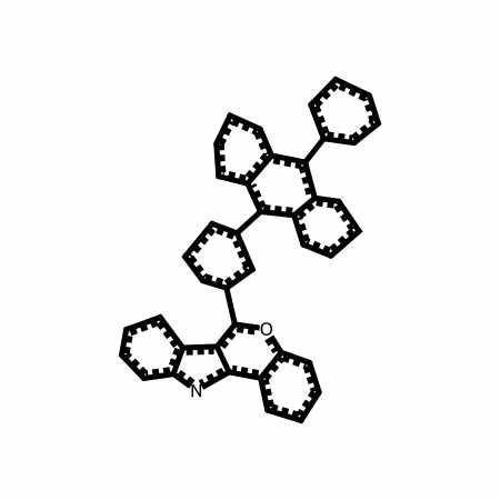 c1ccc(-c2c3ccccc3c(-c3cccc(-c4oc5ccccc5c5nc6ccccc6c4-5)c3)c3ccccc23)cc1